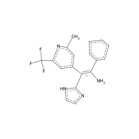 Cc1cc(/C(=C(/N)c2ccccc2)c2ncc[nH]2)cc(C(F)(F)F)n1